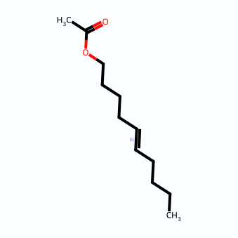 CCCC/C=C/CCCCOC(C)=O